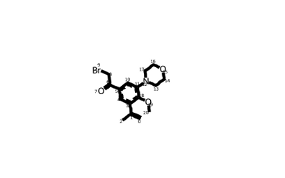 C=C(C)c1cc(C(=O)CBr)cc(N2CCOCC2)c1OC